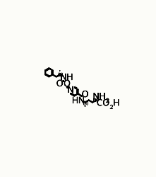 C[C@H](CC[C@H](N)C(=O)O)NC(=O)c1cc[n+](COC(=O)N[C@@H](C)Cc2ccccc2)cc1